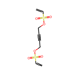 C=CS(=O)(=O)OCC#CCOS(=O)(=O)C=C